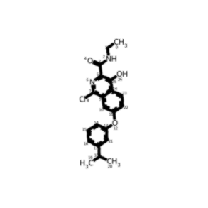 CCNC(=O)c1nc(Cl)c2cc(Oc3cccc(C(C)C)c3)ccc2c1O